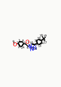 COc1ccc(C(=O)Cn2cc(-c3ccc(C(C)(C)C)cc3)nn2)cc1